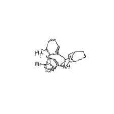 Cc1cccc(C(=O)N2C3CCC2C(Nc2cnc(Br)cn2)C3)c1-c1ncco1